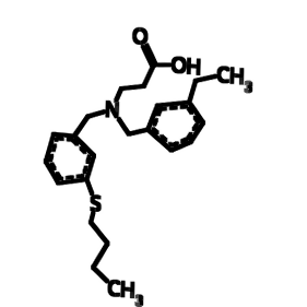 CCCCSc1cccc(CN(CCC(=O)O)Cc2cccc(CC)c2)c1